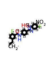 [CH2]C=Cc1ccc(F)c(C(=O)Nc2ccc(-c3nc4cc(F)c([N+](=O)[O-])cc4n3O)cc2)c1